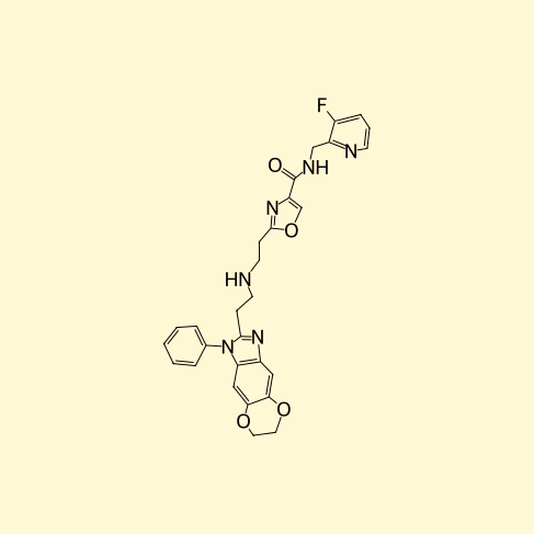 O=C(NCc1ncccc1F)c1coc(CCNCCc2nc3cc4c(cc3n2-c2ccccc2)OCCO4)n1